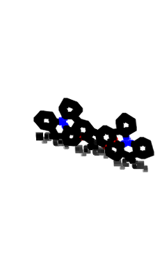 CC1(C)c2ccccc2N(c2ccccc2-c2ccc3c(c2)-c2cc(-c4ccccc4N4c5ccccc5C(C)(C)c5ccccc54)ccc2[Si]3(C)C)c2ccccc21